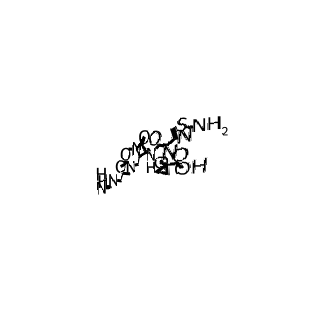 CN1C(=O)[C@@H](NC(=O)/C(=N\OC2(C(=O)O)CC2)c2csc(N)n2)[C@H]1CN1C[C@@H](CNC=N)OC1=O